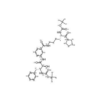 CC(C)(C)OC(=O)N[C@@H](CCCCNC(=O)c1cccc(NC(=O)[C@@H](O)[C@@H](Cc2ccccc2)NC(=O)OC(C)(C)C)c1)C(=O)N1CCSC1